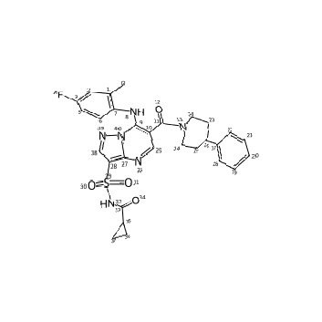 Cc1cc(F)ccc1Nc1c(C(=O)N2CCC(c3ccccc3)CC2)cnc2c(S(=O)(=O)NC(=O)C3CC3)cnn12